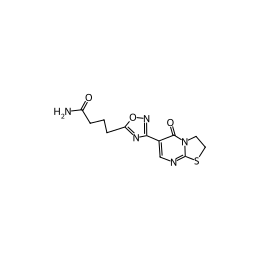 NC(=O)CCCc1nc(-c2cnc3n(c2=O)CCS3)no1